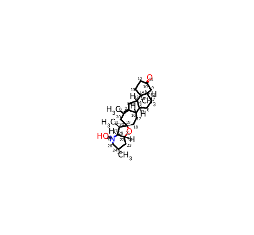 CC1=C2C[C@H]3[C@@H](CC[C@@H]4CC(=O)CC[C@@]43C)[C@@H]2CC[C@@]2(C1)O[C@@H]1C[C@H](C)CN(O)[C@H]1[C@H]2C